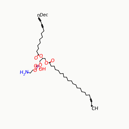 C#CC#CCCCCCCCCCCCCCCCCCCC(=O)OCC(COP(=O)(O)OCCN)OC(=O)CCCCCCCCC#CC#CCCCCCCCCCC